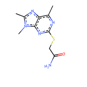 Cc1nc(SCC(N)=O)nc2c1nc(C)n2C